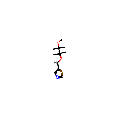 COC(C)(C)C(C)(C)OBc1cncs1